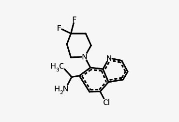 CC(N)c1cc(Cl)c2cccnc2c1N1CCC(F)(F)CC1